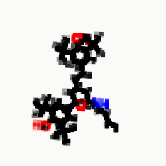 CCCCNC(=O)CC(CCc1cc(C(C)(C)C)c(O)c(C(C)(C)C)c1)CCc1cc(C(C)(C)C)c(O)c(C(C)(C)C)c1